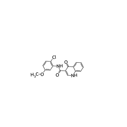 COc1ccc(Cl)c(NC(=O)c2c[nH]c3ccccc3c2=O)c1